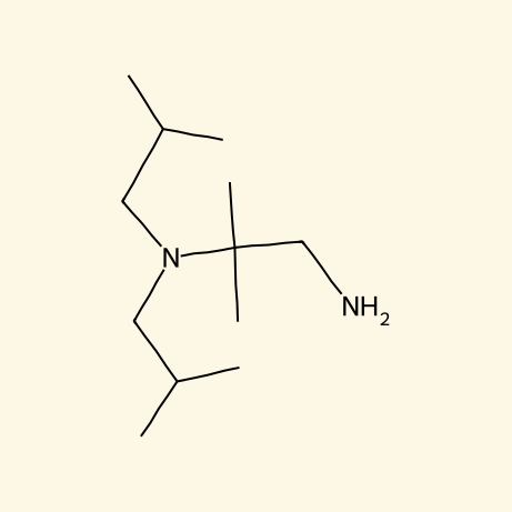 CC(C)CN(CC(C)C)C(C)(C)CN